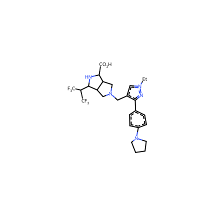 CCn1cc(CN2CC3C(C(=O)O)NC(C(C(F)(F)F)C(F)(F)F)C3C2)c(-c2ccc(N3CCCC3)cc2)n1